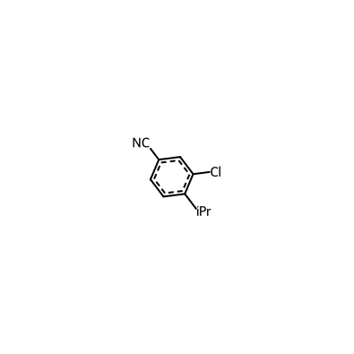 CC(C)c1ccc(C#N)cc1Cl